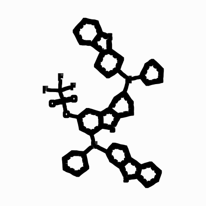 O=S(=O)(Oc1cc(N(c2ccccc2)c2ccc3c(c2)sc2ccccc23)c2sc3ccc(N(c4ccccc4)c4ccc5c(c4)sc4ccccc45)cc3c2c1)C(F)(F)F